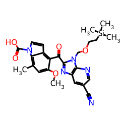 COc1cc(C)c2c(ccn2C(=O)O)c1C(=O)c1nc2cc(C#N)cnc2n1COCC[Si](C)(C)C